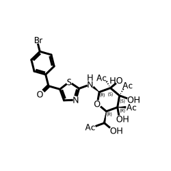 CC(=O)C(O)[C@H]1O[C@@H](Nc2ncc(C(=O)c3ccc(Br)cc3)s2)[C@](O)(C(C)=O)[C@](O)(C(C)=O)[C@@]1(O)C(C)=O